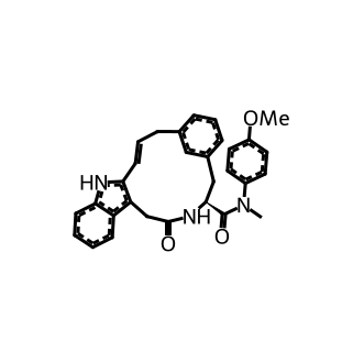 COc1ccc(N(C)C(=O)[C@@H]2Cc3cccc(c3)C/C=C/c3[nH]c4ccccc4c3CC(=O)N2)cc1